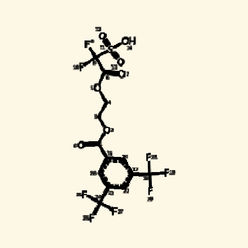 O=C(OCCOC(=O)C(F)(F)S(=O)(=O)O)c1cc(C(F)(F)F)cc(C(F)(F)F)c1